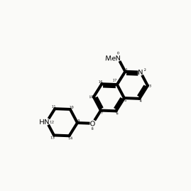 CNc1nccc2cc(OC3CCNCC3)ccc12